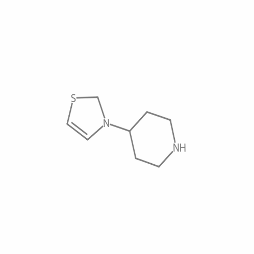 C1=CN(C2CCNCC2)CS1